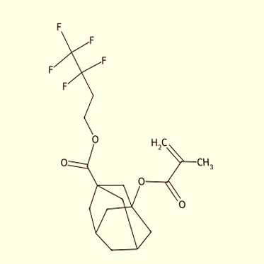 C=C(C)C(=O)OC12CC3CC(C1)CC(C(=O)OCCC(F)(F)C(F)(F)F)(C3)C2